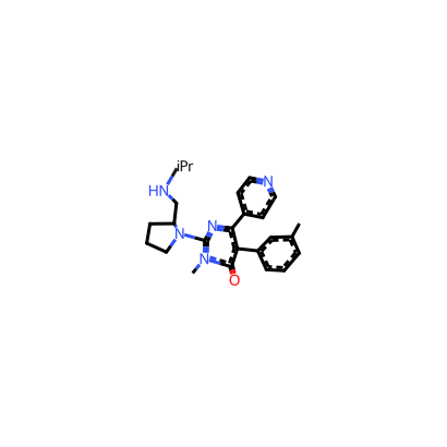 Cc1cccc(-c2c(-c3ccncc3)nc(N3CCCC3CNC(C)C)n(C)c2=O)c1